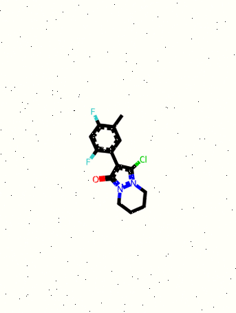 Cc1cc(-c2c(Cl)n3n(c2=O)CCCC3)c(F)cc1F